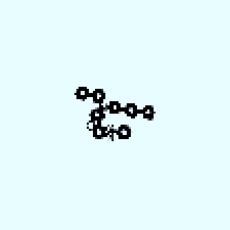 c1ccc(-c2ccc(-c3ccc(N(c4cccc(-c5ccccc5)c4)c4ccc5oc6ccc7nc(-c8ccccc8)oc7c6c5c4)cc3)cc2)cc1